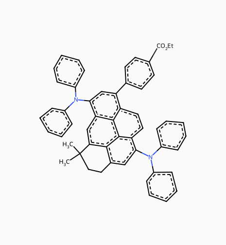 CCOC(=O)c1ccc(-c2cc(N(c3ccccc3)c3ccccc3)c3cc4c5c(cc(N(c6ccccc6)c6ccccc6)c6ccc2c3c65)CCC4(C)C)cc1